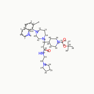 Cc1ccc2cccnc2c1N1CCCN(C(CC(=O)NCCN2CCCC2)C2CCN(C(=O)OC(C)(C)C)CC2)CC1